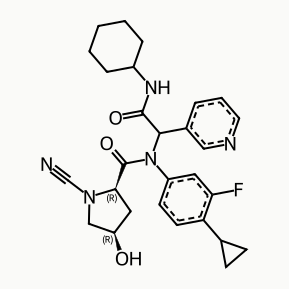 N#CN1C[C@H](O)C[C@@H]1C(=O)N(c1ccc(C2CC2)c(F)c1)C(C(=O)NC1CCCCC1)c1cccnc1